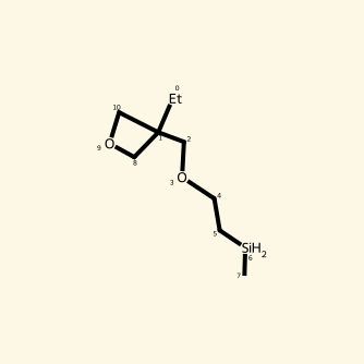 CCC1(COCC[SiH2]C)COC1